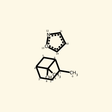 CC1CCC2CC1C2(C)C.c1cnoc1